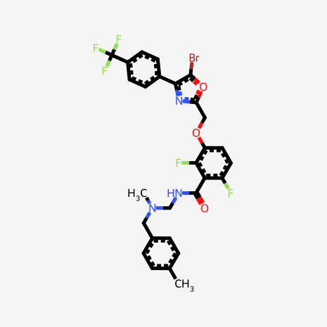 Cc1ccc(CN(C)CNC(=O)c2c(F)ccc(OCc3nc(-c4ccc(C(F)(F)F)cc4)c(Br)o3)c2F)cc1